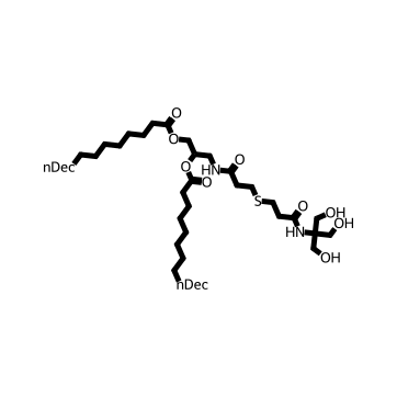 CCCCCCCCCCCCCCCCCC(=O)OCC(CNC(=O)CCSCCC(=O)NC(CO)(CO)CO)OC(=O)CCCCCCCCCCCCCCCCC